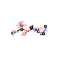 Cc1c(-c2ccc(N3CCc4cccc(C(=O)Nc5nc6ccccc6s5)c4C3)nc2C(=O)O)cnn1CC12CC3(C)CC(C)(C1)CC(OCCN(CCS(=O)(=O)O)C(=O)OCc1ccc(CCCNC(=O)CN4C(=O)C=CC4=O)cc1O[C@@H]1[C@@H](O)[C@H](O)[C@@H](C(=O)O)O[C@H]1O)(C3)C2